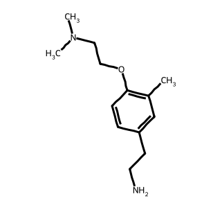 Cc1cc(CCN)ccc1OCCN(C)C